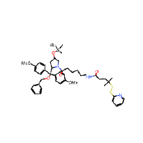 COc1ccc(C(OCc2ccccc2)(c2ccc(OC)cc2)C2CC(O[Si](C)(C)C(C)(C)C)CN2C(=O)CCCCCNC(=O)CCC(C)(C)SSc2ccccn2)cc1